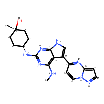 CNc1nc(N[C@H]2CC[C@](C)(O)CC2)nc2[nH]cc(-c3ccn4nccc4n3)c12